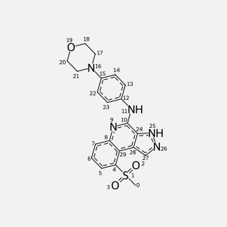 CS(=O)(=O)c1cccc2nc(Nc3ccc(N4CCOCC4)cc3)c3[nH]ncc3c12